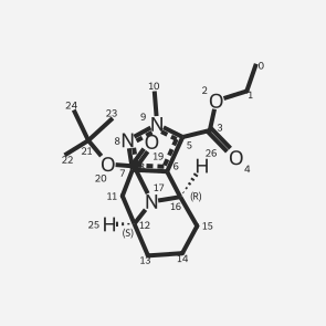 CCOC(=O)c1c2c(nn1C)C[C@@H]1CCC[C@H]2N1C(=O)OC(C)(C)C